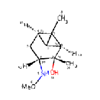 CON[C@@H]1C[C@@H]2C3[C@@H](C32C)[C@]1(C)O